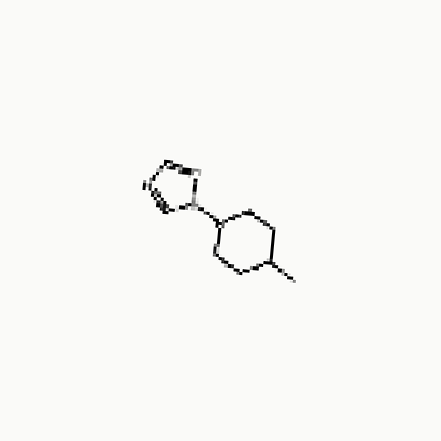 CC1CCN(n2cncn2)CC1